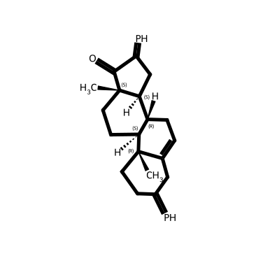 C[C@]12CCC(=P)CC1=CC[C@@H]1[C@@H]2CC[C@]2(C)C(=O)C(=P)C[C@@H]12